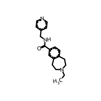 CCN1CCc2ccc(C(=O)NCc3ccncc3)cc2CC1